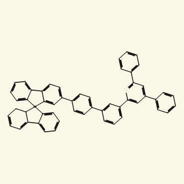 C1=CCC2C(=C1)c1ccccc1C21c2ccccc2-c2ccc(-c3ccc(-c4cccc(-c5cc(-c6ccccc6)cc(-c6ccccc6)n5)c4)cc3)cc21